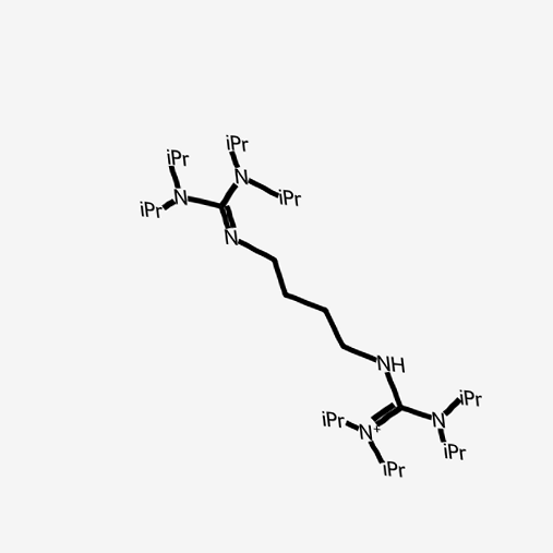 CC(C)N(C(=NCCCCNC(N(C(C)C)C(C)C)=[N+](C(C)C)C(C)C)N(C(C)C)C(C)C)C(C)C